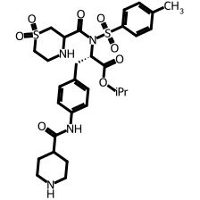 Cc1ccc(S(=O)(=O)N(C(=O)C2CS(=O)(=O)CCN2)[C@@H](Cc2ccc(NC(=O)C3CCNCC3)cc2)C(=O)OC(C)C)cc1